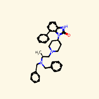 C[C@@H](CN1CCC(n2c(=O)[nH]c3cccc(-c4ccccc4)c32)CC1)N(Cc1ccccc1)Cc1ccccc1